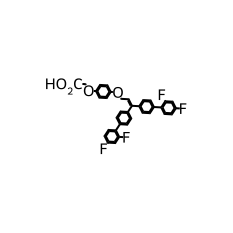 O=C(O)COc1ccc(OCC=C(c2ccc(-c3ccc(F)cc3F)cc2)c2ccc(-c3ccc(F)cc3F)cc2)cc1